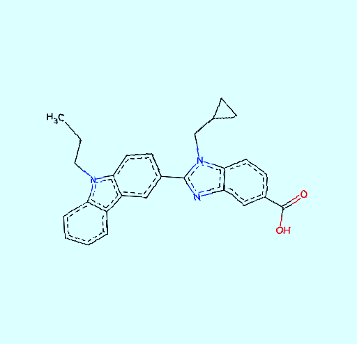 CCCn1c2ccccc2c2cc(-c3nc4cc(C(=O)O)ccc4n3CC3CC3)ccc21